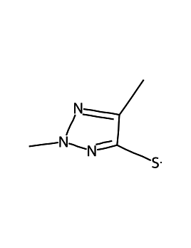 Cc1nn(C)nc1[S]